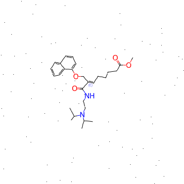 COC(=O)CCCC/C=C(\COc1cccc2ccccc12)C(=O)NCCN(C(C)C)C(C)C